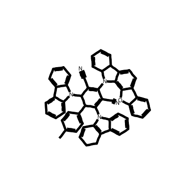 Cc1ccc(C2C(n3c4c(c5ccccc53)CCC=C4)=C(C#N)C(N3c4c(ccc5c4oc4ccccc45)C4C=CC=CC43)=C(C#N)C2n2c3ccccc3c3ccccc32)cc1